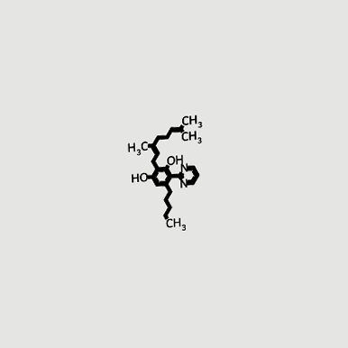 CCCCCc1cc(O)c(C/C=C(\C)CCC=C(C)C)c(O)c1-c1ncccn1